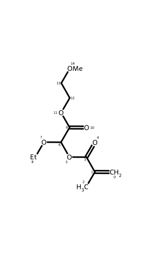 C=C(C)C(=O)OC(OCC)C(=O)OCCOC